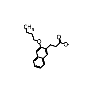 CCCCOc1cc2ccccc2cc1CCC([O])=O